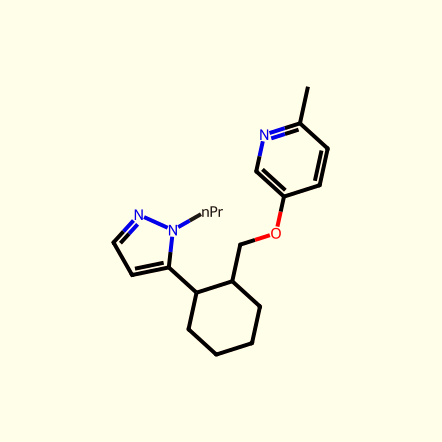 CCCn1nccc1C1CCCCC1COc1ccc(C)nc1